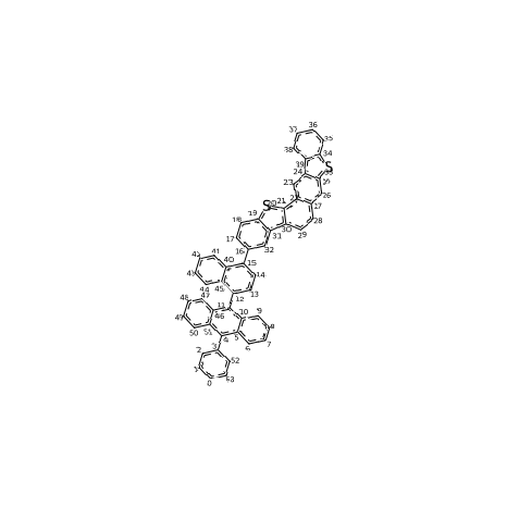 c1ccc(-c2c3ccccc3c(-c3ccc(-c4ccc5sc6c7cc8c(cc7ccc6c5c4)sc4ccccc48)c4ccccc34)c3ccccc23)cc1